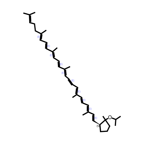 CC(C)=CCC/C(C)=C/C=C/C(C)=C/C=C/C(C)=C/C=C/C=C(C)/C=C/C=C(C)/C=C/[C@@H]1CCCC1(C)OC(C)C